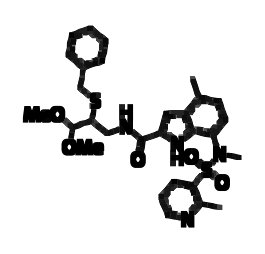 COC(OC)C(CNC(=O)c1cc2c(C)ccc(N(C)S(=O)(=O)c3cccnc3C)c2[nH]1)SCc1ccccc1